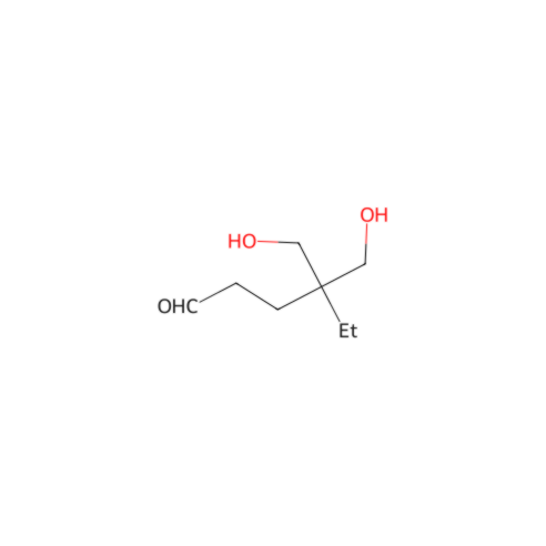 CCC(CO)(CO)CCC=O